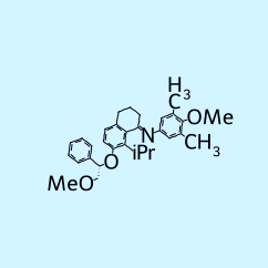 COC[C@@H](Oc1ccc2c(c1C(C)C)/C(=N/c1cc(C)c(OC)c(C)c1)CCC2)c1ccccc1